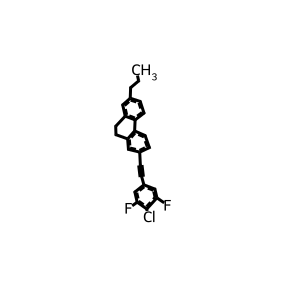 CCCc1ccc2c(c1)CCc1cc(C#Cc3cc(F)c(Cl)c(F)c3)ccc1-2